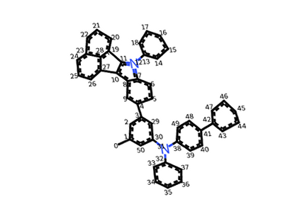 Cc1cc(-c2ccc3c(c2)c2c(n3-c3ccccc3)-c3cccc4cccc-2c34)cc(N(c2ccccc2)c2ccc(-c3ccccc3)cc2)c1